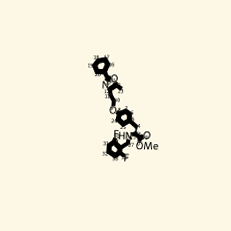 COC(=O)[C@H](Cc1ccc(OCCc2nc(-c3ccccc3)oc2C)cc1)NCc1c(F)cccc1F